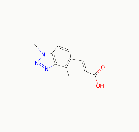 Cc1c(C=CC(=O)O)ccc2c1nnn2C